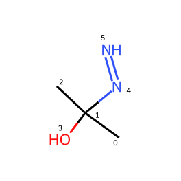 CC(C)(O)N=N